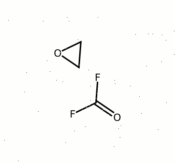 C1CO1.O=C(F)F